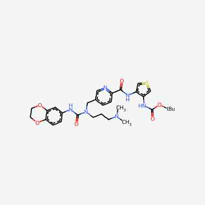 CN(C)CCCN(Cc1ccc(C(=O)Nc2cscc2NC(=O)OC(C)(C)C)nc1)C(=O)Nc1ccc2c(c1)OCCO2